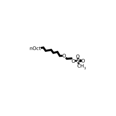 CCCCCCCCCCCCCCOCCOS(C)(=O)=O